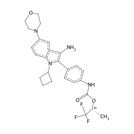 C[C@@H](OC(=O)Nc1ccc(-c2c(N)c3cc(N4CCOCC4)ccc3n2C2CCC2)cc1)C(F)(F)F